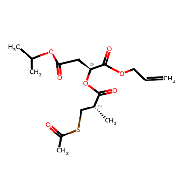 C=CCOC(=O)[C@H](CC(=O)OC(C)C)OC(=O)[C@H](C)CSC(C)=O